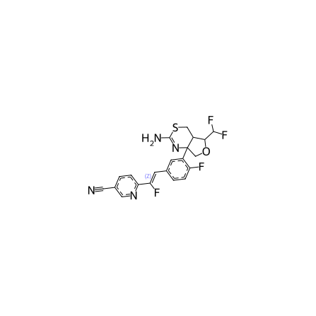 N#Cc1ccc(/C(F)=C/c2ccc(F)c(C34COC(C(F)F)C3CSC(N)=N4)c2)nc1